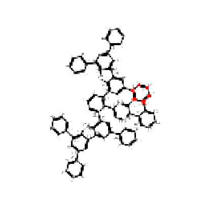 c1ccc(-c2cc(-c3ccccc3)c3sc4c(-c5cccc(-c6cc(-c7ccccc7)cc7c6sc6c(-c8ccccc8)cc(-c8ccccc8)cc67)c5-c5cnc6c7ccccc7c7ccccc7c6n5)cc(-c5ccccc5)cc4c3c2)cc1